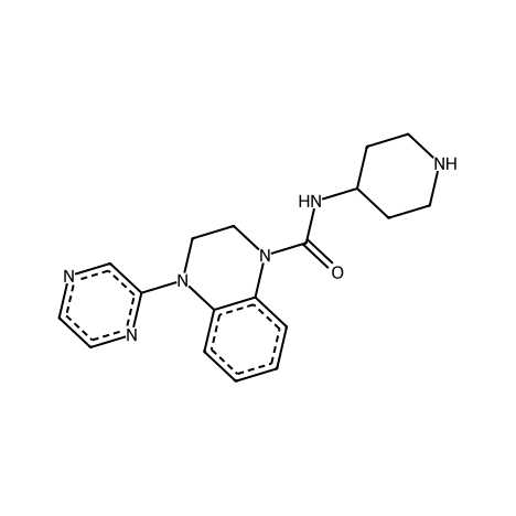 O=C(NC1CCNCC1)N1CCN(c2cnccn2)c2ccccc21